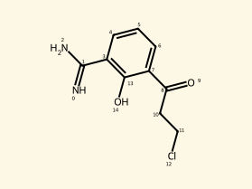 N=C(N)c1cccc(C(=O)CCCl)c1O